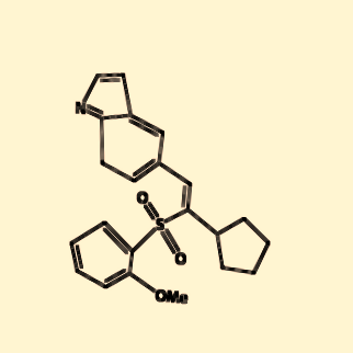 COc1ccccc1S(=O)(=O)C(=CC1=CCC2=NC=CC2=C1)C1CCCC1